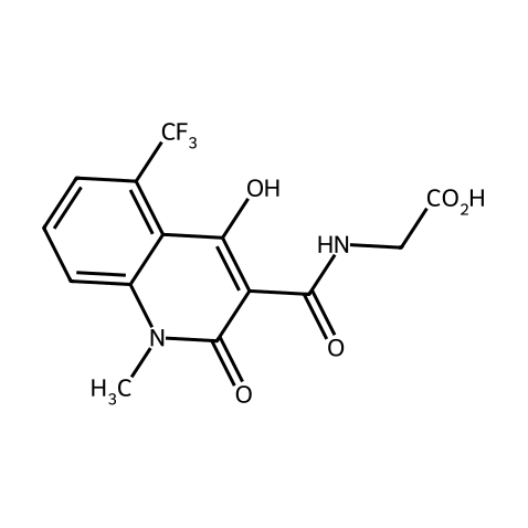 Cn1c(=O)c(C(=O)NCC(=O)O)c(O)c2c(C(F)(F)F)cccc21